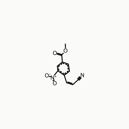 COC(=O)c1ccc(/C=C\C#N)c([N+](=O)[O-])c1